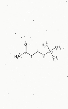 C[Si](C)(C)OCCC(N)=O